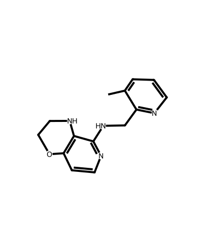 Cc1cccnc1CNc1nccc2c1NCCO2